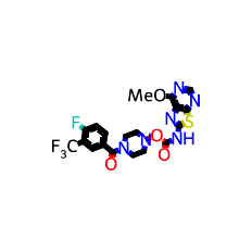 COc1ncnc2sc(NC(=O)ON3CCN(C(=O)c4ccc(F)c(C(F)(F)F)c4)CC3)nc12